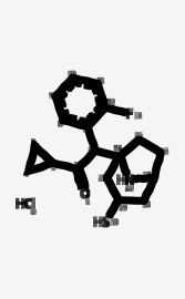 Cl.O=C(C1CC1)C(c1ccccc1F)C12CCC(CC(S)C1)N2